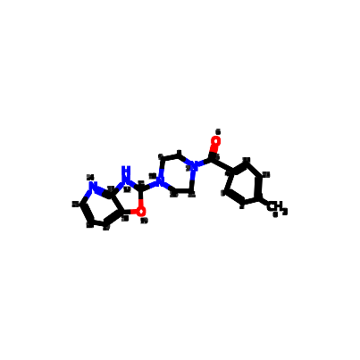 Cc1ccc(C(=O)N2CCN(C3Nc4ncccc4O3)CC2)cc1